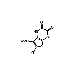 COc1c(Cl)sc2[nH]c(=O)c(=O)[nH]c12